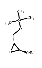 C[Si](C)(C)OC[C@H]1O[C@@H]1C=O